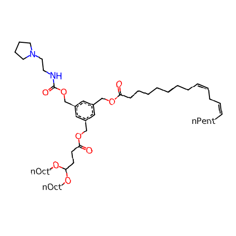 CCCCC/C=C\C/C=C\CCCCCCCC(=O)OCc1cc(COC(=O)CCC(OCCCCCCCC)OCCCCCCCC)cc(COC(=O)NCCN2CCCC2)c1